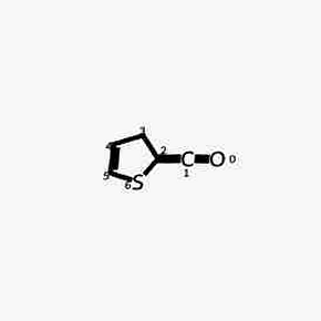 O=C=C1CC=CS1